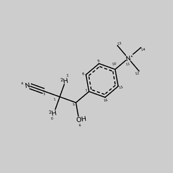 [2H]C([2H])(C#N)C(O)c1ccc([N+](C)(C)C)cc1